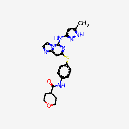 Cc1cc(Nc2nc(Sc3ccc(NC(=O)C4CCOCC4)cc3)cc3nccn23)n[nH]1